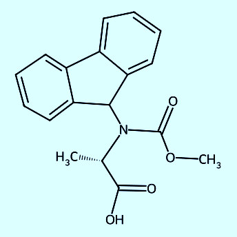 COC(=O)N(C1c2ccccc2-c2ccccc21)[C@@H](C)C(=O)O